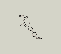 CCCCCCCCCc1ccc(-c2ccc(C(=O)OC(C)COC(=O)CCC)cc2)cc1